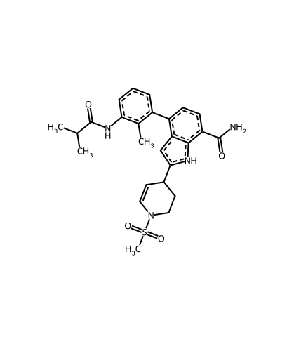 Cc1c(NC(=O)C(C)C)cccc1-c1ccc(C(N)=O)c2[nH]c(C3C=CN(S(C)(=O)=O)CC3)cc12